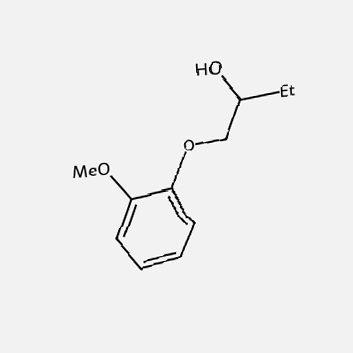 CCC(O)COc1ccccc1OC